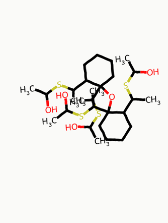 CC(O)SC(C)C1CCCCC1(OC1(C(C)SC(C)O)CCCCC1C(C)SC(C)O)C(C)SC(C)O